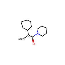 CN[C@H](C(=O)N1CCCCC1)C1CCCCC1